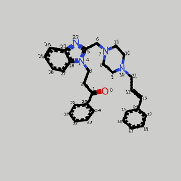 O=C(CCn1c(CN2CCN(C/C=C/c3ccccc3)CC2)nc2ccccc21)c1ccccc1